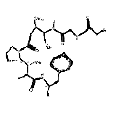 CCC(C)C(C(CC(=O)N1CCC[C@H]1[C@H](OC)C(C)C(=O)N[C@H](C)Cc1ccccc1)OC)N(C)C(=O)CNC(=O)CC(C)C